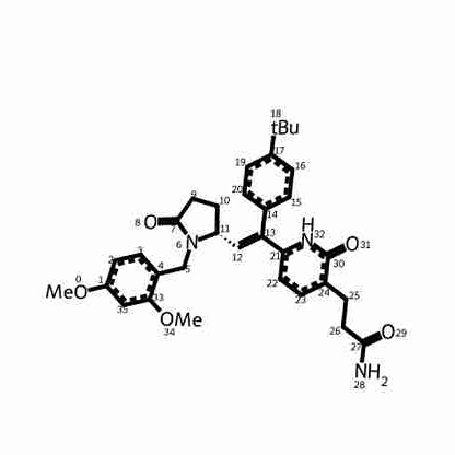 COc1ccc(CN2C(=O)CC[C@@H]2/C=C(\c2ccc(C(C)(C)C)cc2)c2ccc(CCC(N)=O)c(=O)[nH]2)c(OC)c1